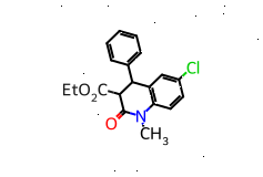 CCOC(=O)C1C(=O)N(C)c2ccc(Cl)cc2C1c1ccccc1